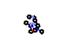 c1ccc(-c2cc(-c3ccccc3)nc(-n3c4cc5c(ccn5-c5ccccc5)cc4c4ccc5c(c6ccccc6n5-c5ccccc5)c43)n2)cc1